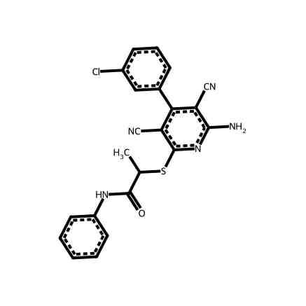 CC(Sc1nc(N)c(C#N)c(-c2cccc(Cl)c2)c1C#N)C(=O)Nc1ccccc1